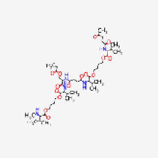 C=CC(=O)OCC(NC(=O)CCC(=O)NC(C(=O)OCCCCOC(=O)C(NC(=O)CCC(C)=O)C(C)C)C(C)C)C(=O)NC(C(=O)OCCCCOC(=O)C(NC)C(C)C)C(C)C